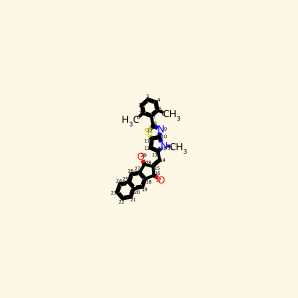 Cc1cccc(C)c1-c1nc2c(cc(C=C3C(=O)c4cc5ccccc5cc4C3=O)n2C)s1